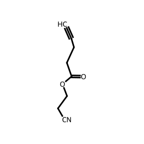 C#CCCC(=O)OCCC#N